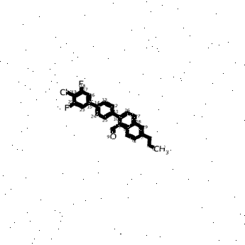 CCCc1ccc2c(C=O)c(-c3ccc(-c4cc(F)c(Cl)c(F)c4)cc3)ccc2c1